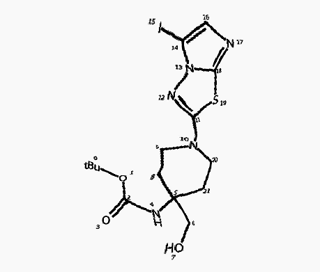 CC(C)(C)OC(=O)NC1(CO)CCN(c2nn3c(I)cnc3s2)CC1